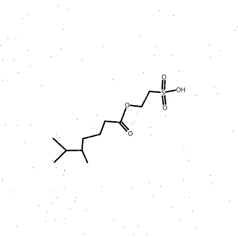 CC(C)C(C)CCCC(=O)OCCS(=O)(=O)O